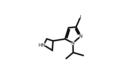 CC(C)n1nc(I)cc1C1CNC1